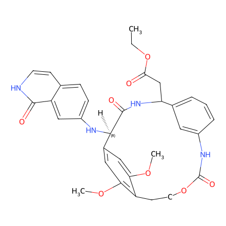 CCOC(=O)CC1NC(=O)[C@H](Nc2ccc3cc[nH]c(=O)c3c2)c2cc(OC)c(c(OC)c2)CCOC(=O)Nc2cccc1c2